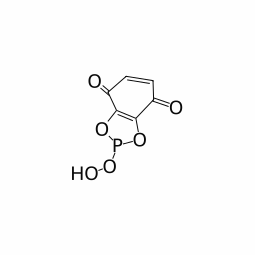 O=c1ccc(=O)c2op(OO)oc1=2